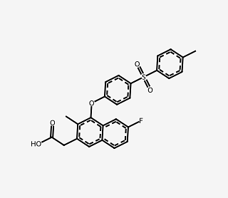 Cc1ccc(S(=O)(=O)c2ccc(Oc3c(C)c(CC(=O)O)cc4ccc(F)cc34)cc2)cc1